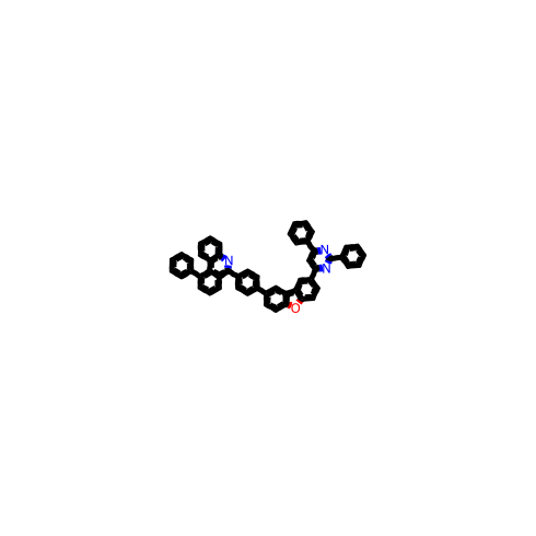 c1ccc(-c2cc(-c3ccc4oc5ccc(-c6ccc(-c7nc8ccccc8c8c(-c9ccccc9)cccc78)cc6)cc5c4c3)nc(-c3ccccc3)n2)cc1